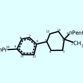 CCCCCC1(C)CCC(c2ccc(CCC)cc2)CC1